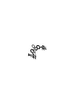 Cn1ccc(-c2ccc3c(c2)CN(c2cccc(-c4nncn4C4CC4)n2)C3=O)n1